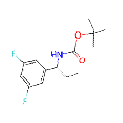 CC[C@@H](NC(=O)OC(C)(C)C)c1cc(F)cc(F)c1